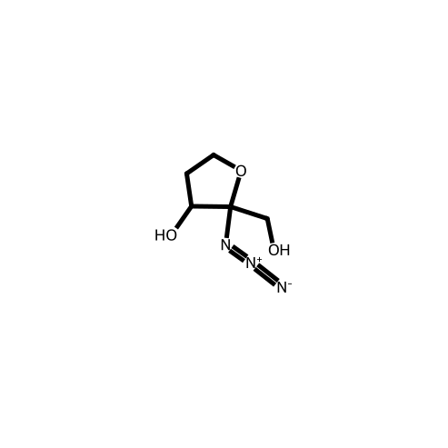 [N-]=[N+]=NC1(CO)OCCC1O